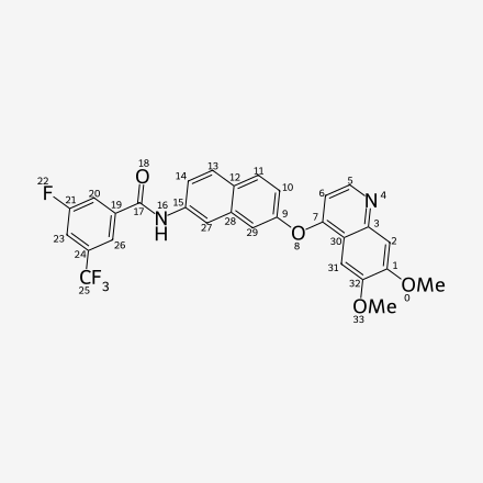 COc1cc2nccc(Oc3ccc4ccc(NC(=O)c5cc(F)cc(C(F)(F)F)c5)cc4c3)c2cc1OC